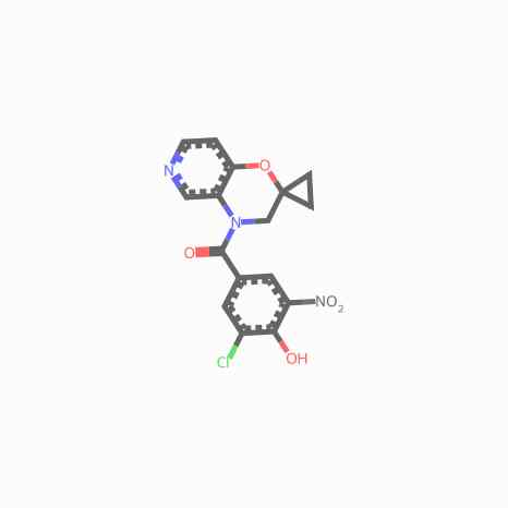 O=C(c1cc(Cl)c(O)c([N+](=O)[O-])c1)N1CC2(CC2)Oc2ccncc21